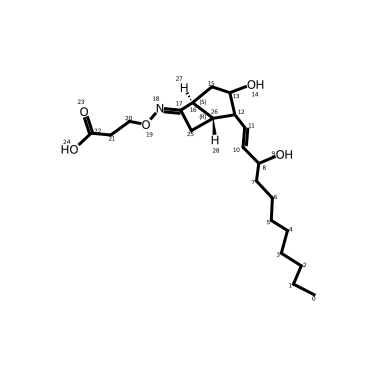 CCCCCCCCC(O)C=CC1C(O)C[C@@H]2C(=NOCCC(=O)O)C[C@@H]12